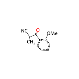 COc1ccccc1C(=O)C(C)C#N